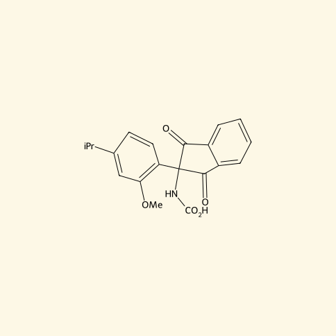 COc1cc(C(C)C)ccc1C1(NC(=O)O)C(=O)c2ccccc2C1=O